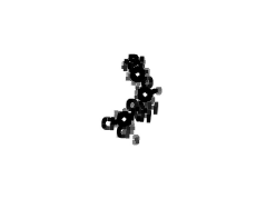 Cc1cc(NC(=O)Nc2ccc(Cl)c(C(F)(F)F)c2)ccc1Oc1ccc2nsnc2c1